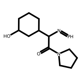 O=C(C(N=P)C1CCCC(O)C1)N1CCCC1